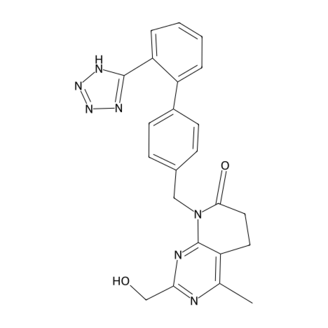 Cc1nc(CO)nc2c1CCC(=O)N2Cc1ccc(-c2ccccc2-c2nnn[nH]2)cc1